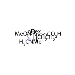 C=C(CC=CC(=C)C(=O)O)CNC(=O)CN(CCCCCC)C(C/C=C(\C)NC)OC